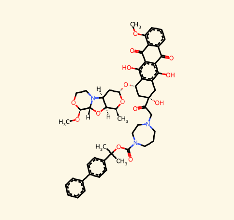 COc1cccc2c1C(=O)c1c(O)c3c(c(O)c1C2=O)C[C@@](O)(C(=O)CN1CCCN(C(=O)OC(C)(C)c2ccc(-c4ccccc4)cc2)CC1)C[C@@H]3O[C@H]1C[C@H]2[C@H](O[C@@H]3[C@@H](OC)OCCN32)[C@H](C)O1